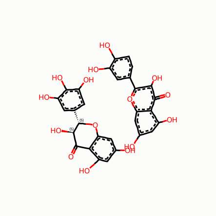 O=C1c2c(O)cc(O)cc2O[C@@H](c2cc(O)c(O)c(O)c2)[C@@H]1O.O=c1c(O)c(-c2ccc(O)c(O)c2)oc2cc(O)cc(O)c12